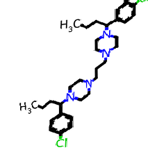 CCCC(c1ccc(Cl)cc1)N1CCN(CCCN2CCN(C(CCC)c3ccc(Cl)cc3)CC2)CC1